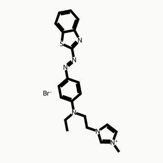 CCN(CCn1cc[n+](C)c1)c1ccc(/N=N/c2nc3ccccc3s2)cc1.[Br-]